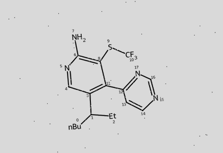 CCCCC(CC)c1cnc(N)c(SC(F)(F)F)c1-c1ccncn1